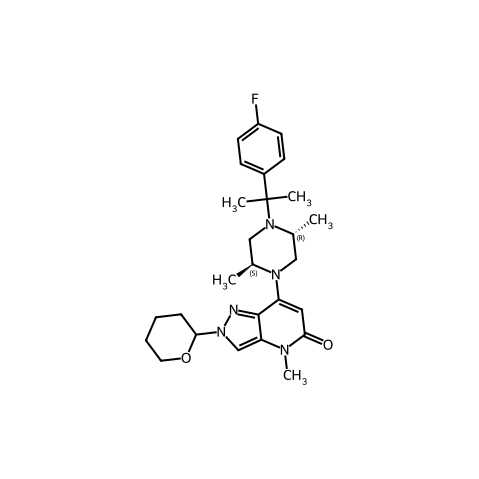 C[C@@H]1CN(c2cc(=O)n(C)c3cn(C4CCCCO4)nc23)[C@@H](C)CN1C(C)(C)c1ccc(F)cc1